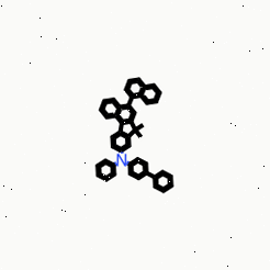 CC1(C)c2cc(N(c3ccccc3)c3ccc(-c4ccccc4)cc3)ccc2-c2c1cc(-c1cccc3ccccc13)c1ccccc21